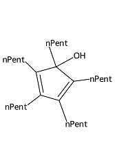 CCCCCC1=C(CCCCC)C(O)(CCCCC)C(CCCCC)=C1CCCCC